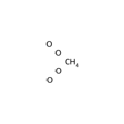 C.[O].[O].[O].[O]